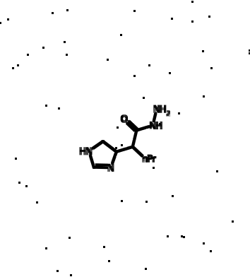 CCCC(C(=O)NN)C1CNC=N1